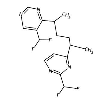 CC(CCC(C)c1ncncc1C(F)F)c1ccnc(C(F)F)n1